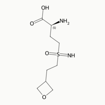 N=S(=O)(CCC1COC1)CC[C@H](N)C(=O)O